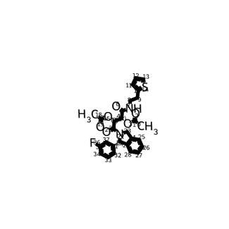 CC(=O)O[C@@H](C(=O)NCCc1cccs1)[C@@H](OC(C)=O)C(=O)N1Cc2ccccc2[C@@H]1c1cccc(F)c1